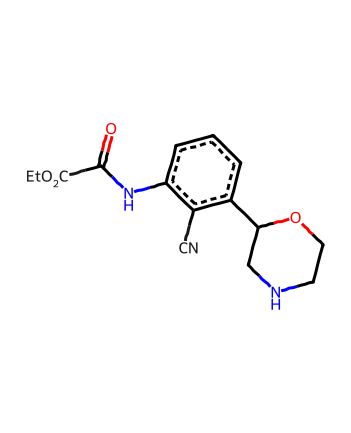 CCOC(=O)C(=O)Nc1cccc(C2CNCCO2)c1C#N